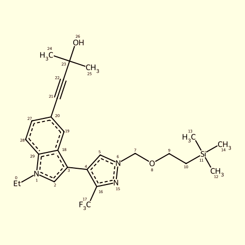 CCn1cc(-c2cn(COCC[Si](C)(C)C)nc2C(F)(F)F)c2cc(C#CC(C)(C)O)ccc21